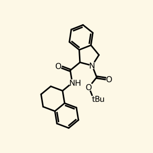 CC(C)(C)OC(=O)N1Cc2ccccc2C1C(=O)NC1CCCc2ccccc21